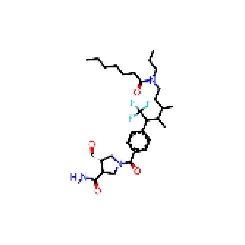 CCCCCCC(=O)N(CCC)CCC(C)C(C)C(c1ccc(C(=O)N2CC(C(N)=O)[C@H](C=O)C2)cc1)C(F)(F)F